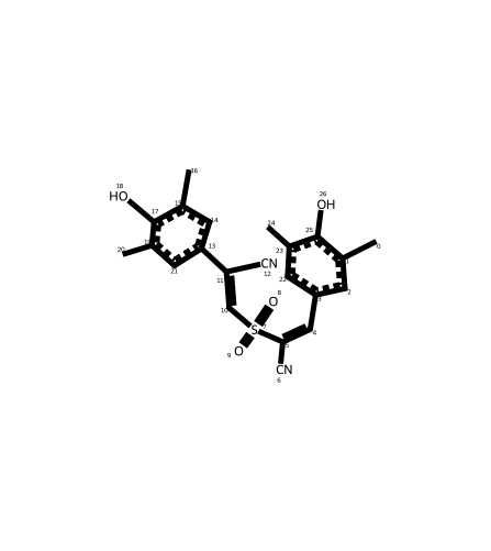 Cc1cc(C=C(C#N)S(=O)(=O)C=C(C#N)c2cc(C)c(O)c(C)c2)cc(C)c1O